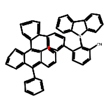 N#Cc1cccc(-c2ccc(-c3ccccc3-c3c4ccccc4c(-c4ccccc4)c4ccccc34)cc2)c1-n1c2ccccc2c2ccccc21